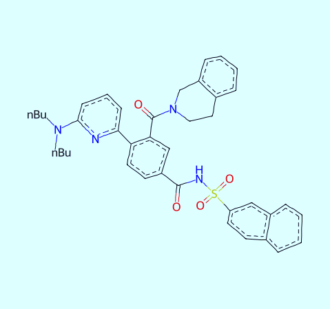 CCCCN(CCCC)c1cccc(-c2ccc(C(=O)NS(=O)(=O)c3ccc4ccccc4c3)cc2C(=O)N2CCc3ccccc3C2)n1